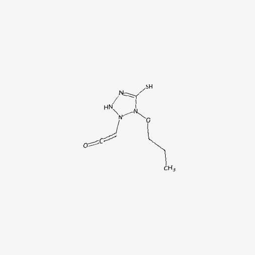 CCCON1C(S)=NNN1C=C=O